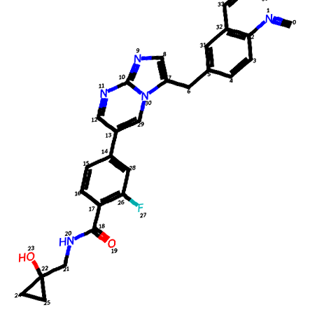 C=Nc1ccc(Cc2cnc3ncc(-c4ccc(C(=O)NCC5(O)CC5)c(F)c4)cn23)cc1/C=C\C